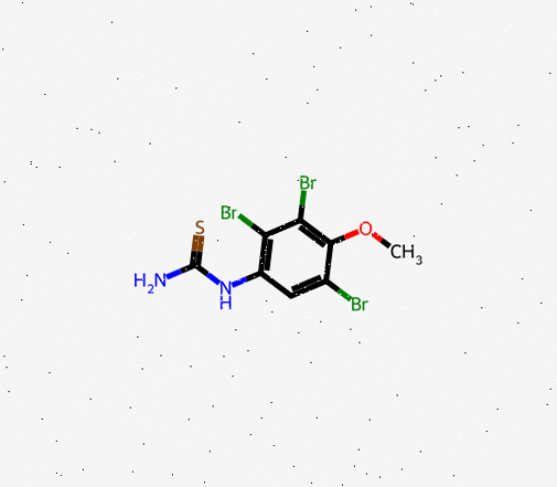 COc1c(Br)cc(NC(N)=S)c(Br)c1Br